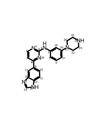 c1cc(Nc2nccc(-c3ccc4[nH]cnc4c3)n2)cc(N2CCNCC2)c1